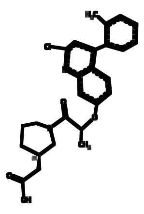 Cc1ccccc1-c1cc(Cl)nc2cc(OC(C)C(=O)N3CCC[C@H](CC(=O)O)C3)ccc12